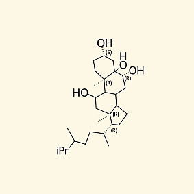 CC(C)C(C)CCC(C)[C@H]1CCC2C3C[C@@H](O)C4(O)C[C@@H](O)CC[C@]4(C)C3C(O)C[C@@]21C